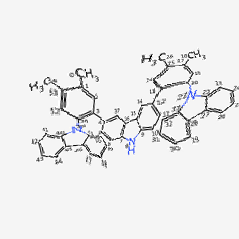 Cc1cc(-c2ccc3[nH]c4ccc(-c5cc(C)c(C)cc5-n5c6ccccc6c6ccccc65)cc4c3c2)c(-n2c3ccccc3c3ccccc32)cc1C